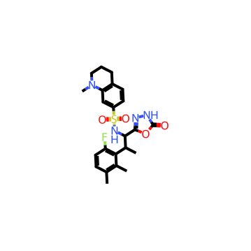 Cc1ccc(F)c(C(C)C(NS(=O)(=O)c2ccc3c(c2)N(C)CCC3)c2n[nH]c(=O)o2)c1C